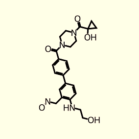 O=NCc1cc(-c2ccc(C(=O)N3CCN(C(=O)C4(O)CC4)CC3)cc2)ccc1NCCO